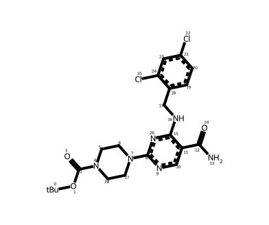 CC(C)(C)OC(=O)N1CCN(c2ncc(C(N)=O)c(NCc3ccc(Cl)cc3Cl)n2)CC1